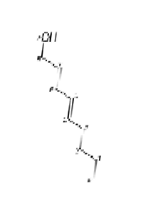 CCCC/C=C/C=C/CO